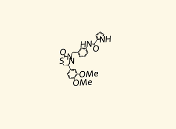 COc1ccc(C2=NN(Cc3cccc(NC(=O)c4ccc[nH]4)c3)C(=O)SC2)cc1OC